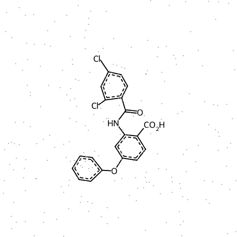 O=C(Nc1cc(Oc2ccccc2)ccc1C(=O)O)c1ccc(Cl)cc1Cl